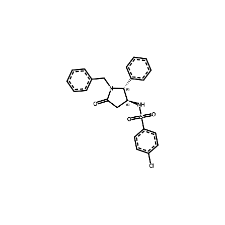 O=C1C[C@H](NS(=O)(=O)c2ccc(Cl)cc2)[C@@H](c2ccccc2)N1Cc1ccccc1